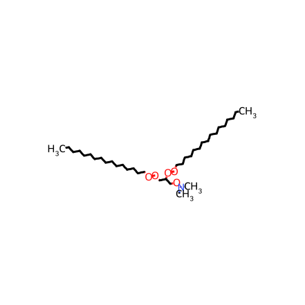 CCCCCCCCCCCCCCCCOOCC(CON(C)C)OOCCCCCCCCCCCCCCCC